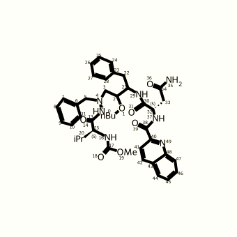 CCCCOC(CN(Cc1ccccc1)NC(=O)[C@@H](NC(=O)OC)C(C)C)C(Cc1ccccc1)NC(=O)[C@H](CC(N)=O)NC(=O)c1ccc2ccccc2n1